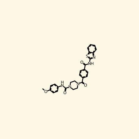 COc1ccc(NC(=O)N2CCN(C(=O)c3ccc(C(=O)Nc4nc5ccccc5s4)cc3)CC2)cc1